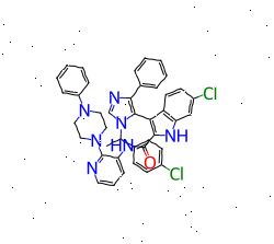 CC(c1ccc(Cl)cc1)n1cnc(-c2ccccc2)c1-c1c(C(=O)Nc2cccnc2N2CCN(c3ccccc3)CC2)[nH]c2cc(Cl)ccc12